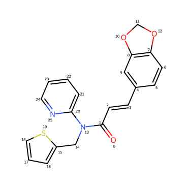 O=C(C=Cc1ccc2c(c1)OCO2)N(Cc1cccs1)c1ccccn1